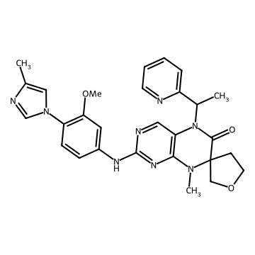 COc1cc(Nc2ncc3c(n2)N(C)C2(CCOC2)C(=O)N3C(C)c2ccccn2)ccc1-n1cnc(C)c1